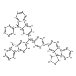 c1ccc(-n2c3ccccc3c3ccc(N(c4ccc(-c5ccc6c(c5)C5(CCCC5)c5ccccc5-6)cc4)c4ccc5c(c4)sc4ccccc45)cc32)cc1